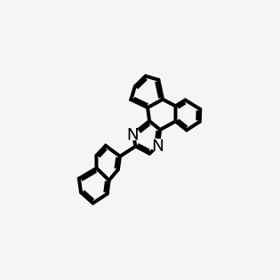 c1ccc2cc(-c3cnc4c5ccccc5c5ccccc5c4n3)ccc2c1